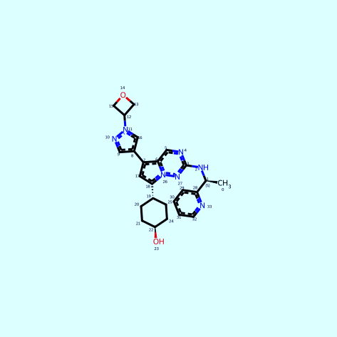 C[C@H](Nc1ncc2c(-c3cnn(C4COC4)c3)cc([C@H]3CC[C@H](O)CC3)n2n1)c1ccccn1